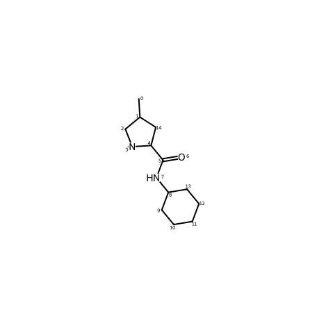 CC1C[N]C(C(=O)NC2CCCCC2)C1